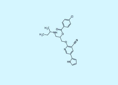 CCC(C)NCC(COc1ncc(-c2ccc[nH]2)cc1C#N)OC(=O)c1ccc(Cl)cc1